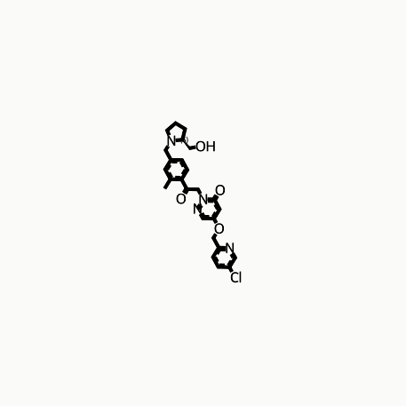 Cc1cc(CN2CCC[C@H]2CO)ccc1C(=O)Cn1ncc(OCc2ccc(Cl)cn2)cc1=O